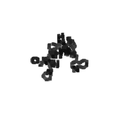 O=C(Nc1cccc(NC=C(NCCN2CCCCC2)[N+](=O)[O-])c1)c1sccc1[AsH]Cc1ccnc2ccccc12